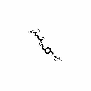 C=COCC1CCC(CCOC(=O)CCCC(=O)O)CC1